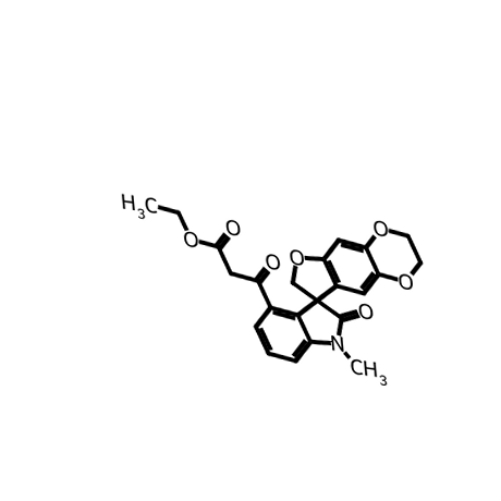 CCOC(=O)CC(=O)c1cccc2c1C1(COc3cc4c(cc31)OCCO4)C(=O)N2C